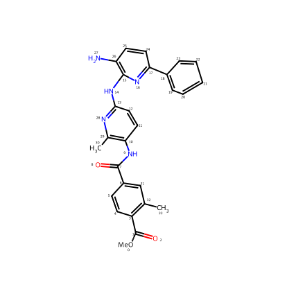 COC(=O)c1ccc(C(=O)Nc2ccc(Nc3nc(-c4ccccc4)ccc3N)nc2C)cc1C